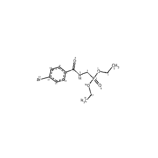 CCOP(=O)(CNC(=O)c1ccc(Br)cc1)OCC